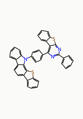 c1ccc(-c2nc(-c3ccc(-n4c5ccccc5c5ccc6c7ccccc7sc6c54)cc3)c3c(n2)sc2ccccc23)cc1